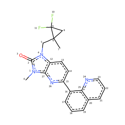 Cn1c(=O)n(CC2(C)CC2(F)F)c2ccc(-c3cccc4cccnc34)nc21